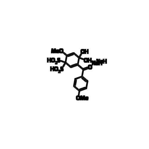 COC1=CC(O)(O)C(C(=O)c2ccc(OC)cc2)=CC1(S(=O)(=O)O)S(=O)(=O)O.[NaH].[NaH]